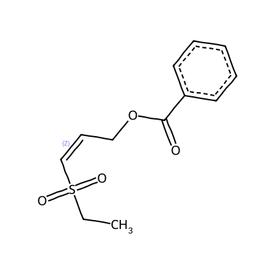 CCS(=O)(=O)/C=C\COC(=O)c1ccccc1